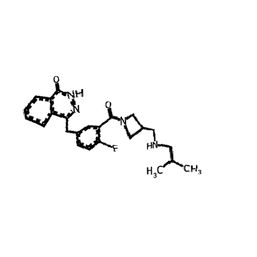 CC(C)CNCC1CN(C(=O)c2cc(Cc3n[nH]c(=O)c4ccccc34)ccc2F)C1